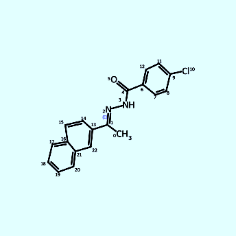 C/C(=N\NC(=O)c1ccc(Cl)cc1)c1ccc2ccccc2c1